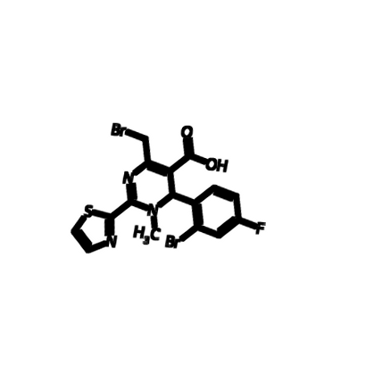 CN1C(c2nccs2)=NC(CBr)=C(C(=O)O)C1c1ccc(F)cc1Br